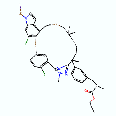 CCOC(=O)C(C)Cc1cccc(C2(C)CCCC(C)(C)CSCCc3c(c(F)cc4c3ccn4SI)Sc3ccc(F)c(c3)-c3nc2nn3C)c1